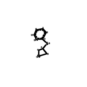 c1ccc(SC2C[N]C2)nc1